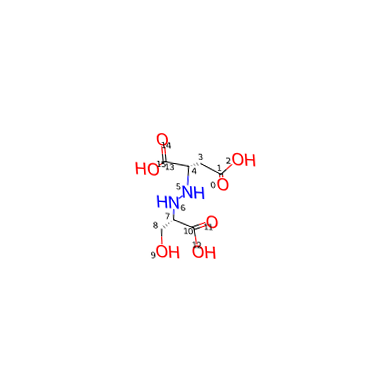 O=C(O)C[C@H](NN[C@@H](CO)C(=O)O)C(=O)O